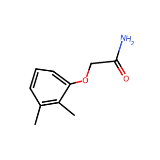 Cc1cccc(OCC(N)=O)c1C